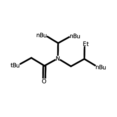 CCCCC(CC)CN(C(=O)CC(C)(C)C)C(CCCC)CCCC